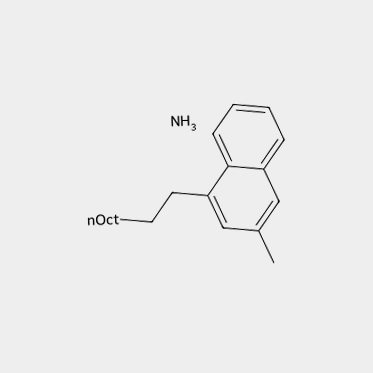 CCCCCCCCCCc1cc(C)cc2ccccc12.N